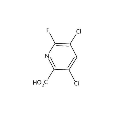 O=C(O)c1nc(F)c(Cl)cc1Cl